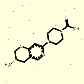 N[C@@H]1COc2cc(N3CCN(C(=O)O)CC3)ncc2C1